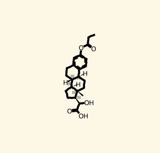 CCC(=O)Oc1ccc2c(c1)CC[C@@H]1[C@@H]2CC[C@]2(C)[C@@H](C(O)C(=O)O)CC[C@@H]12